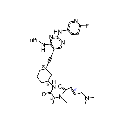 CCCNc1nc(Nc2ccc(F)nc2)ncc1C#C[C@@H]1CCC[C@H](NC(=O)[C@H](C)N(C)C(=O)/C=C/CN(C)C)C1